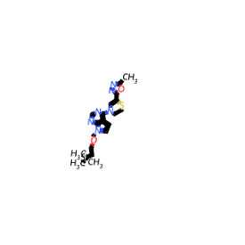 Cc1nnc(C2=CN(c3ncnc4c3ccn4COCC[Si](C)(C)C)CCS2)o1